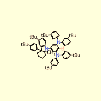 CC(C)(C)c1ccc(N2c3ccc(C(C)(C)C)cc3B3c4ccc(C(C)(C)C)cc4N(c4cccc(C(C)(C)C)c4)c4cc(N5c6ccc(C(C)(C)C)cc6C6(c7ccc(C(C)(C)C)cc7)CCCCC56C)cc2c43)cc1